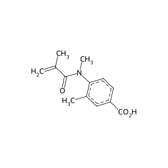 C=C(C)C(=O)N(C)c1ccc(C(=O)O)cc1C